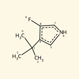 CC(C)(C)c1c[nH]cc1F